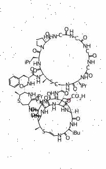 C=C1NC(=O)C2NC(=O)[C@H](CC(C)C)NC(=O)[C@H](NC(=O)[C@@H]3CS[C@@H](C)[C@@H](NC(=O)[C@H](Cc4ccccc4)NC(=O)[C@@H]4NC(=O)[C@@H](N)CS[C@H]4C)C(=O)N[C@@H](CC(C)C)C(=O)N4CCC[C@H]4C(=O)NCC(=O)NCC(=O)NCC(=O)NCC(=O)N[C@@H](C(C)C)C(=O)N3)[C@H](C)SC[C@H](NC(=O)[C@H](CCC(=O)O)NC1=O)C(=O)N[C@@H]([C@H](C)CC)C(=O)N/C=C/S[C@H]2C